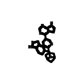 c1nc(-c2ccc(N3CC4CC(C3)N4Cc3ccc4[nH]ncc4c3)nc2)c2cc[nH]c2n1